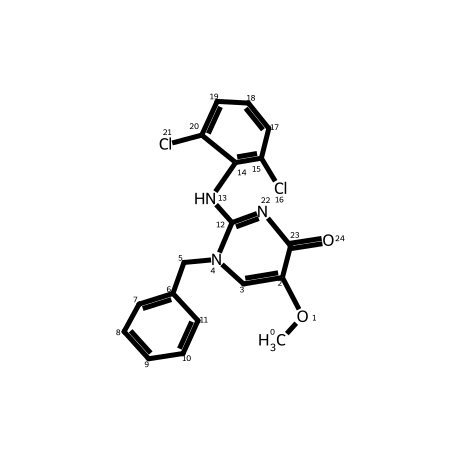 COc1cn(Cc2ccccc2)c(Nc2c(Cl)cccc2Cl)nc1=O